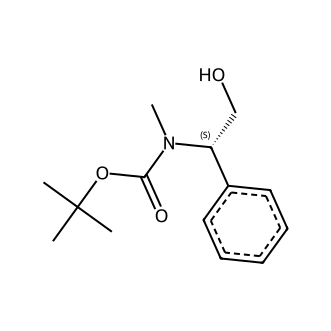 CN(C(=O)OC(C)(C)C)[C@H](CO)c1ccccc1